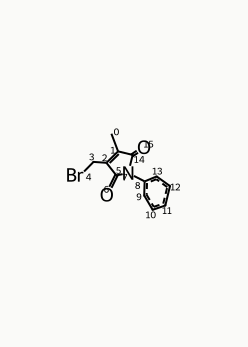 CC1=C(CBr)C(=O)N(c2ccccc2)C1=O